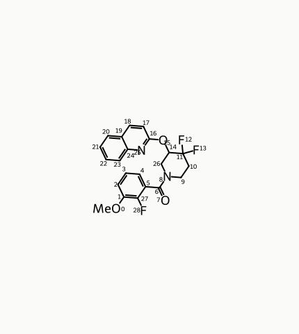 COc1cccc(C(=O)N2CCC(F)(F)C(Oc3ccc4ccccc4n3)C2)c1F